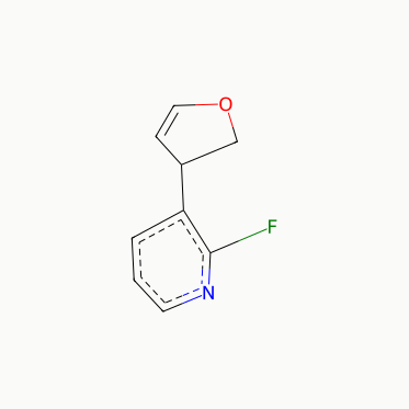 Fc1ncccc1C1C=COC1